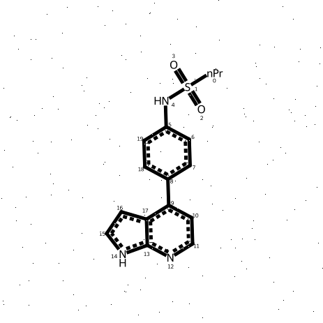 CCCS(=O)(=O)Nc1ccc(-c2ccnc3[nH]ccc23)cc1